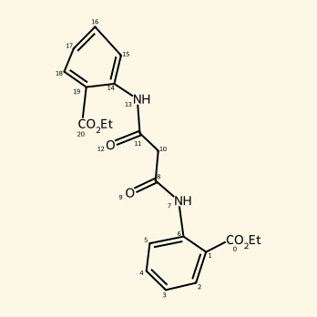 CCOC(=O)c1ccccc1NC(=O)CC(=O)Nc1ccccc1C(=O)OCC